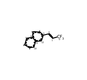 FC(F)(F)C=Cc1ccc2ccccc2c1